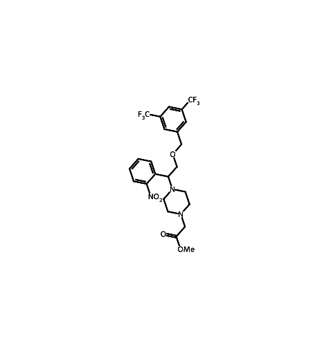 COC(=O)CN1CCN(C(COCc2cc(C(F)(F)F)cc(C(F)(F)F)c2)c2ccccc2[N+](=O)[O-])CC1